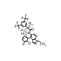 CCn1ncc2c(-c3cccc(F)c3Cl)c(N(C)C(=O)C(C)(C)c3cc(C(F)(F)F)cc(C(F)(F)F)c3)cnc21